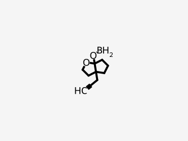 BOC12CCCC1(CC#C)CCO2